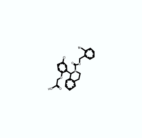 O=C(O)COc1ccc(Cl)cc1C1c2ccccc2CCN1C(=O)OCc1ccccc1Br